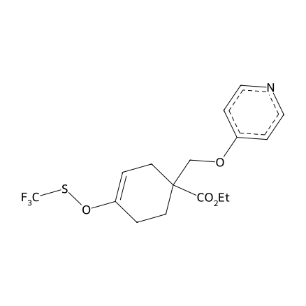 CCOC(=O)C1(COc2ccncc2)CC=C(OSC(F)(F)F)CC1